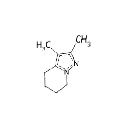 Cc1nn2c(c1C)CCCC2